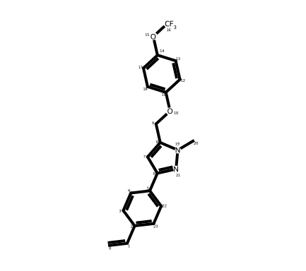 C=Cc1ccc(-c2cc(COc3ccc(OC(F)(F)F)cc3)n(C)n2)cc1